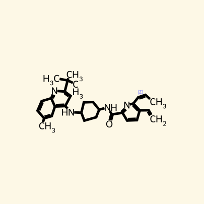 C=Cc1ccc(C(=O)NC2CCC(Nc3cc(C(C)(C)C)nc4ccc(C)cc34)CC2)nc1/C=C\C